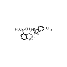 CN(C)c1cccc(F)c1C[S+]([O-])c1nc2cc(C(F)(F)F)ccc2[nH]1